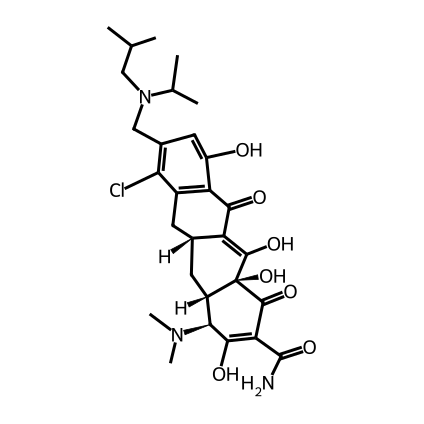 CC(C)CN(Cc1cc(O)c2c(c1Cl)C[C@H]1C[C@H]3[C@H](N(C)C)C(O)=C(C(N)=O)C(=O)[C@@]3(O)C(O)=C1C2=O)C(C)C